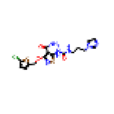 NC(=O)c1c(OCc2ccc(Cl)s2)nsc1NC(=O)NCCCn1ccnc1